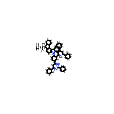 CC1(C)c2ccccc2-c2c1ccc1c2c2ccccc2n1-c1ccc(-c2cc(-c3ccccc3)nc(-c3ccccc3)n2)cc1-c1cc(-c2ccccc2)cc(-c2ccccc2)n1